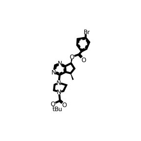 C[C@@H]1C[C@H](OC(=O)c2ccc(Br)cc2)c2ncnc(N3CCN(C(=O)OC(C)(C)C)CC3)c21